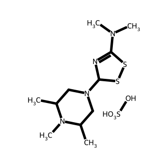 CC1CN(C2N=C(N(C)C)SS2)CC(C)N1C.O=S(=O)(O)O